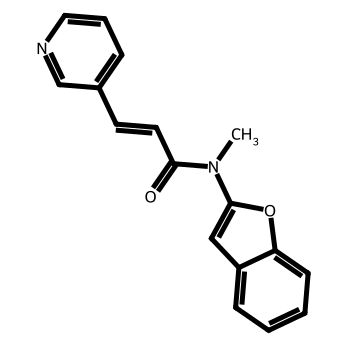 CN(C(=O)C=Cc1cccnc1)c1cc2ccccc2o1